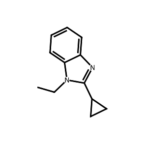 CCn1c(C2CC2)nc2ccccc21